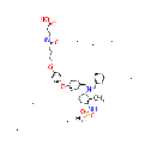 Cc1c(NS(C)(=O)=O)cccc1N(Cc1ccccc1)Cc1ccc(Oc2ccc(OCCCCC(=O)NCCC(=O)O)cc2)cc1